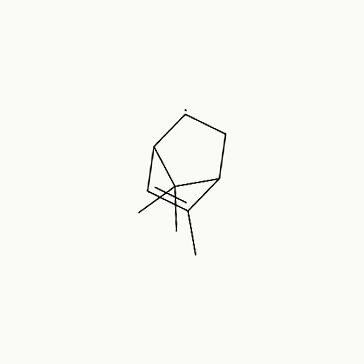 CC1=CC2[CH]CC1C2(C)C